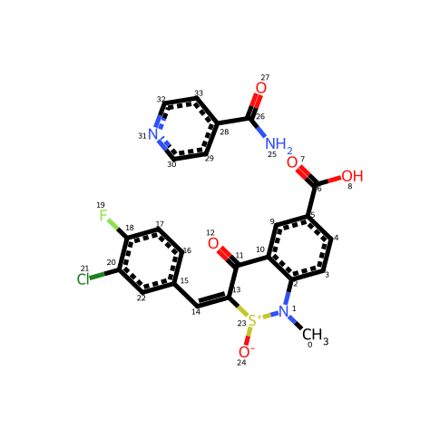 CN1c2ccc(C(=O)O)cc2C(=O)/C(=C\c2ccc(F)c(Cl)c2)[S+]1[O-].NC(=O)c1ccncc1